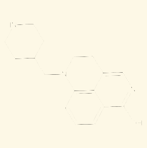 Oc1ncc2c3c(cccc13)N(CC1CCNCC1)CC2